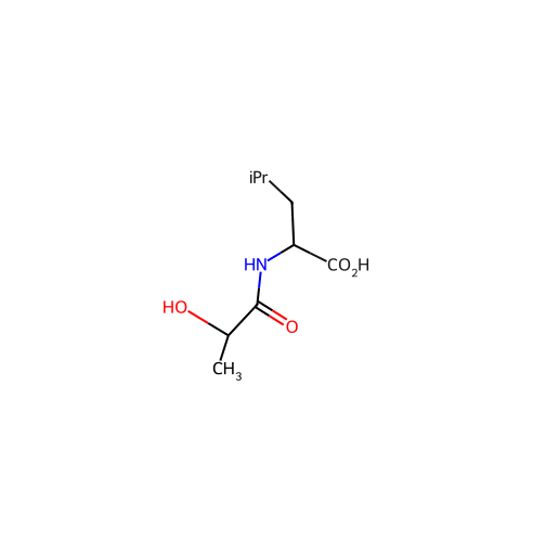 CC(C)CC(NC(=O)C(C)O)C(=O)O